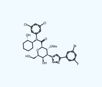 CO[C@@H]1[C@@H](n2cc(-c3cc(F)cc(Br)c3)nn2)[C@@H](O)[C@@H](CO)O[C@H]1C(=O)N(c1cc(Cl)cc(Cl)c1)[C@H]1CCCC[C@@H]1O